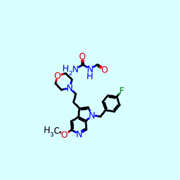 COc1cc2c(CCN3CCOCC3)cn(Cc3ccc(F)cc3)c2cn1.NC(=O)NC=O